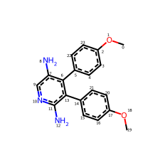 COc1ccc(-c2c(N)cnc(N)c2-c2ccc(OC)cc2)cc1